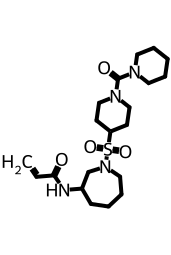 C=CC(=O)NC1CCCCN(S(=O)(=O)C2CCN(C(=O)N3CCCCC3)CC2)C1